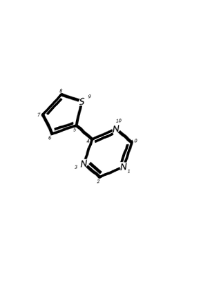 [c]1ncnc(-c2cccs2)n1